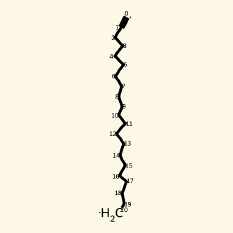 [C]#CCCCCCCCCCCCCCCCCCC[CH2]